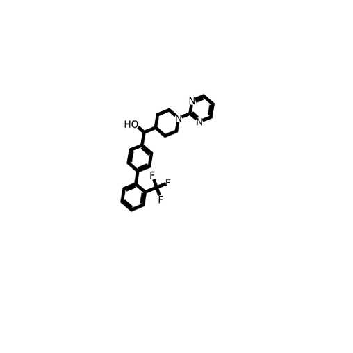 OC(c1ccc(-c2ccccc2C(F)(F)F)cc1)C1CCN(c2ncccn2)CC1